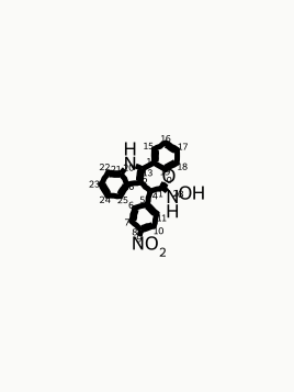 O=C(NO)C(c1ccc([N+](=O)[O-])cc1)c1c(-c2ccccc2)[nH]c2ccccc12